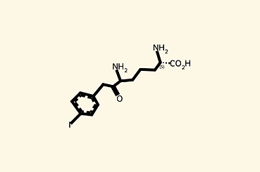 NC(CCC[C@H](N)C(=O)O)C(=O)Cc1ccc(I)cc1